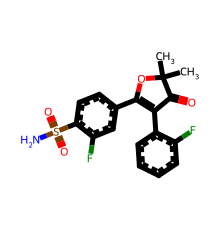 CC1(C)OC(c2ccc(S(N)(=O)=O)c(F)c2)=C(c2ccccc2F)C1=O